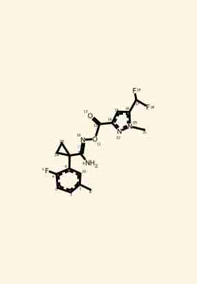 Cc1ccc(F)c(C2(/C(N)=N/OC(=O)c3cc(C(F)F)n(C)n3)CC2)c1